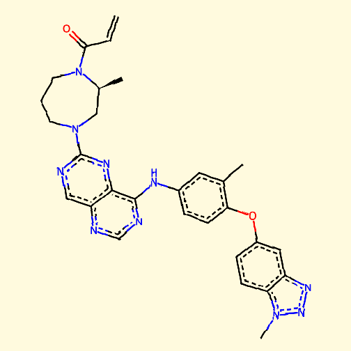 C=CC(=O)N1CCCN(c2ncc3ncnc(Nc4ccc(Oc5ccc6c(c5)nnn6C)c(C)c4)c3n2)C[C@@H]1C